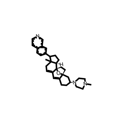 CN1CCN([C@@H]2CCC3=CC4=CCC5(C)C(c6ccc7ccncc7c6)CC[C@H]5[C@@]45CC[C@]3(C2)O5)CC1